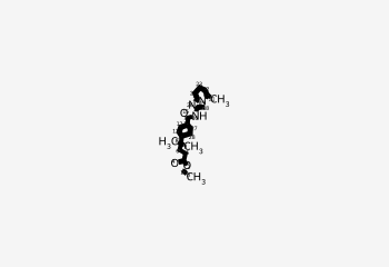 CCOC(=O)CCC(C)(C)c1ccc(C(=O)Nc2cn3c(C)cccc3n2)cc1